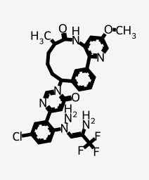 COc1cnc2c(c1)NC(=O)C(C)CCCC(n1cnc(-c3cc(Cl)ccc3N(N)/C=C(\N)C(F)(F)F)cc1=O)c1cccc-2c1